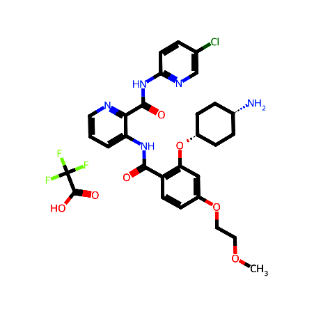 COCCOc1ccc(C(=O)Nc2cccnc2C(=O)Nc2ccc(Cl)cn2)c(O[C@H]2CC[C@@H](N)CC2)c1.O=C(O)C(F)(F)F